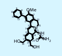 COc1cc2c(cc1-c1ccccc1)-c1cc3cc(CO)c(CO)cc3c(NC(N)=O)[n+]1CC2